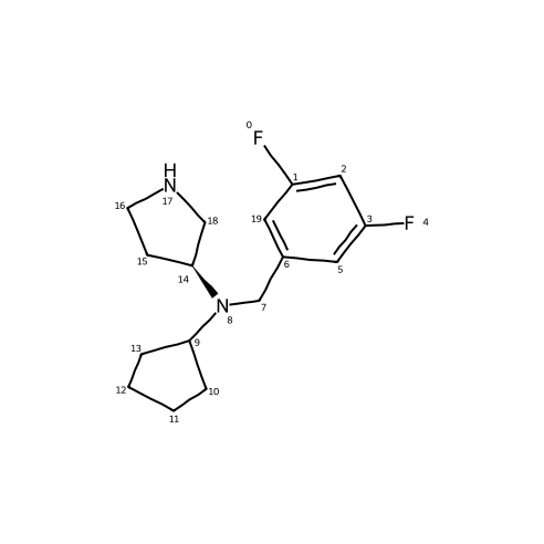 Fc1cc(F)cc(CN(C2CCCC2)[C@H]2CCNC2)c1